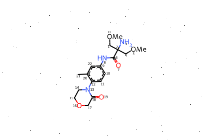 COCC(N)(COC)C(=O)Nc1ccc(N2CCOCC2=O)c(C)c1